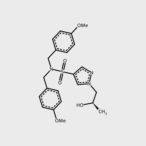 COc1ccc(CN(Cc2ccc(OC)cc2)S(=O)(=O)c2cnn(C[C@@H](C)O)c2)cc1